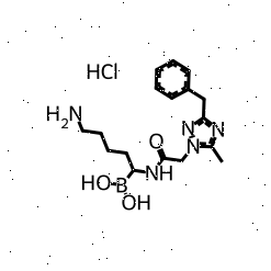 Cc1nc(Cc2ccccc2)nn1CC(=O)NC(CCCCN)B(O)O.Cl